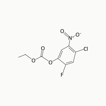 CCOC(=O)Oc1cc([N+](=O)[O-])c(Cl)cc1F